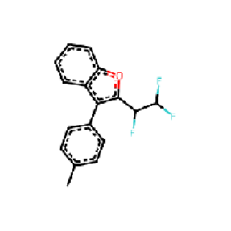 Cc1ccc(-c2c(C(F)C(F)F)oc3ccccc23)cc1